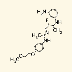 C=C(Nc1cccc(N)c1)/C(F)=C\N=C(/C)Nc1ccc(OCCOC)cc1